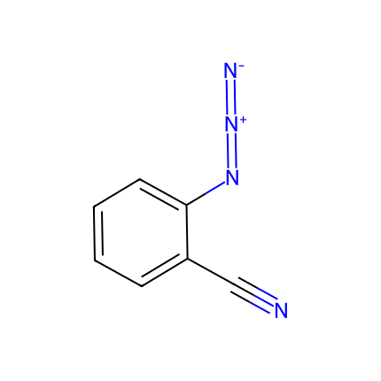 N#Cc1ccccc1N=[N+]=[N-]